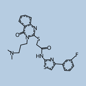 CN(C)CCCn1c(SCC(=O)Nc2nc(-c3cccc(F)c3)cs2)nc2ccccc2c1=O